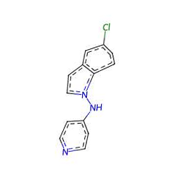 Clc1ccc2c(ccn2Nc2ccncc2)c1